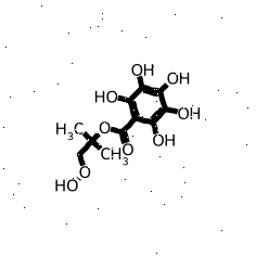 CC(C)(COO)OC(=O)c1c(O)c(O)c(O)c(O)c1O